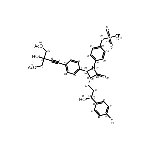 CC(=O)OCC(O)(C#Cc1ccc([C@@H]2[C@@H](CC[C@H](O)c3ccc(F)cc3)C(=O)N2c2ccc(OS(=O)(=O)C(F)(F)F)cc2)cc1)COC(C)=O